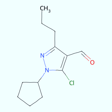 CCCc1nn(C2CCCC2)c(Cl)c1C=O